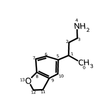 CC(CCN)c1ccc2c(c1)CCO2